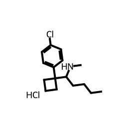 CCCCC(NC)C1(c2ccc(Cl)cc2)CCC1.Cl